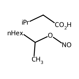 CC(C)CC(=O)O.CCCCCCC(C)ON=O